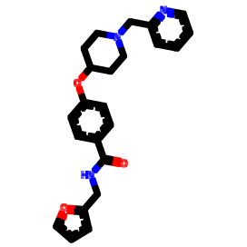 O=C(NCc1ccco1)c1ccc(OC2CCN(Cc3ccccn3)CC2)cc1